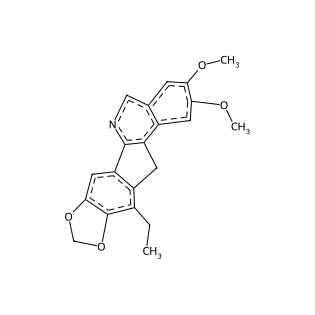 CCc1c2c(cc3c1OCO3)-c1ncc3cc(OC)c(OC)cc3c1C2